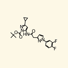 CC(C)(C)OC(=O)n1nc(C2CC2)cc1NC(=O)Cc1ccn(-c2ccc(F)c(F)c2)n1